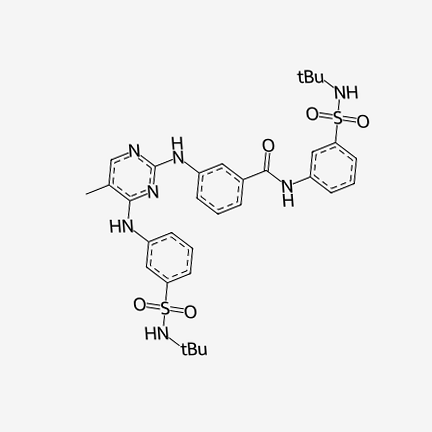 Cc1cnc(Nc2cccc(C(=O)Nc3cccc(S(=O)(=O)NC(C)(C)C)c3)c2)nc1Nc1cccc(S(=O)(=O)NC(C)(C)C)c1